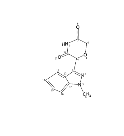 Cn1nc(C2OCC(=O)NC2=O)c2ccccc21